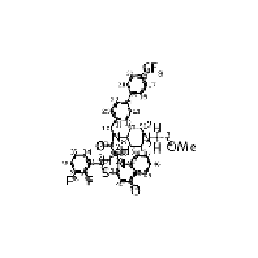 [2H]C([2H])(COC)N1CCC(N(Cc2ccc(-c3ccc(C(F)(F)F)cc3)cc2)C(=O)C([2H])([2H])n2c(SCc3cccc(F)c3F)cc(=O)c3ccccc32)CC1